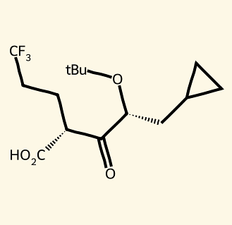 CC(C)(C)O[C@H](CC1CC1)C(=O)[C@@H](CCC(F)(F)F)C(=O)O